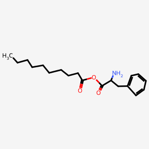 CCCCCCCCCC(=O)OC(=O)C(N)Cc1ccccc1